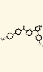 CN1CCN(c2ccc(Nc3nccc(-c4c[nH]nc4-c4ccc(C(F)(F)F)cc4)n3)cc2)CC1